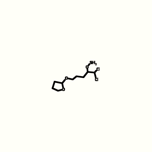 [SiH3]OC(CCCOC1CCCO1)C(Cl)Cl